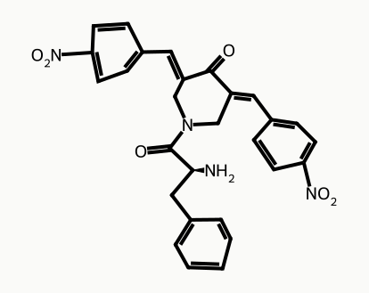 N[C@@H](Cc1ccccc1)C(=O)N1C/C(=C\c2ccc([N+](=O)[O-])cc2)C(=O)/C(=C/c2ccc([N+](=O)[O-])cc2)C1